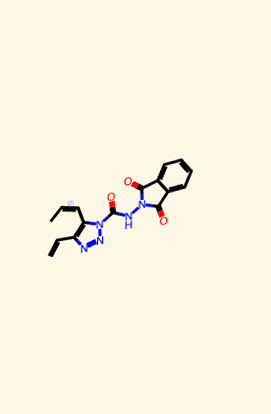 C=Cc1nnn(C(=O)NN2C(=O)c3ccccc3C2=O)c1/C=C\C